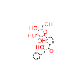 O=C(c1cccc([C@@H]2O[C@H](CO)[C@@H](O)[C@H](O)[C@H]2O)c1)C(O)Cc1ccccc1